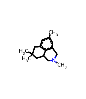 Cc1cc2c3c(c1)CC(C)(C)CC3CN(C)C2